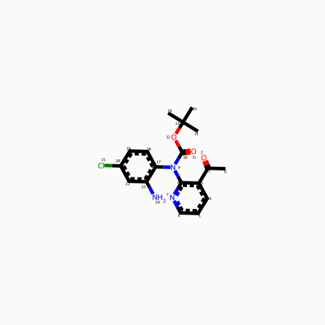 CC(=O)c1cccnc1N(C(=O)OC(C)(C)C)c1ccc(Cl)cc1N